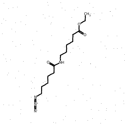 CCOC(=O)CCCCCNC(=O)CCCCCN=[N+]=[N-]